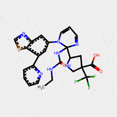 CCNC(=O)NC1(C2CC(C(=O)O)(C(F)(F)F)CN2)N=CC=CN1c1cc(-c2ccccn2)c2scnc2c1